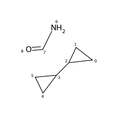 C1CC1C1CC1.NC=O